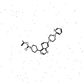 C=C(C)OC(=O)N1CCC(c2ncnc3cc(N4CCN(c5ccccn5)CC4)ccc23)CC1